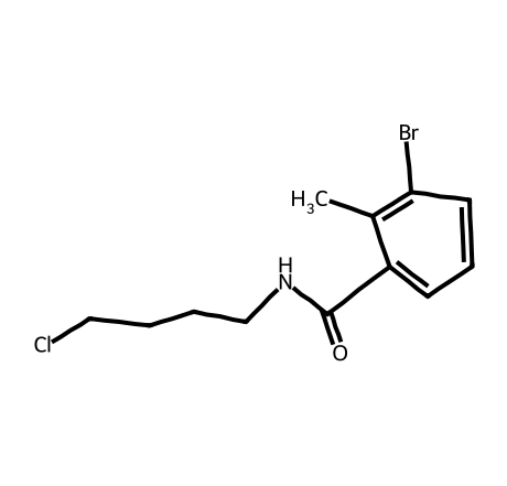 Cc1c(Br)cccc1C(=O)NCCCCCl